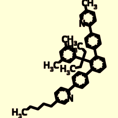 CCCCCc1ccc(-c2ccc(-c3cccc(-c4ccc(-c5ccc(C)cn5)cc4)c3C(CC)(CC)c3cc(C)cc(C)c3)cc2)nc1